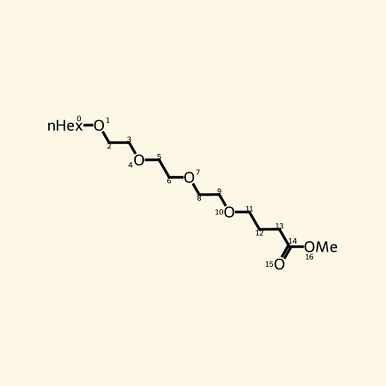 CCCCCCOCCOCCOCCOCCCC(=O)OC